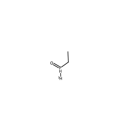 [3H][PH](=O)CC